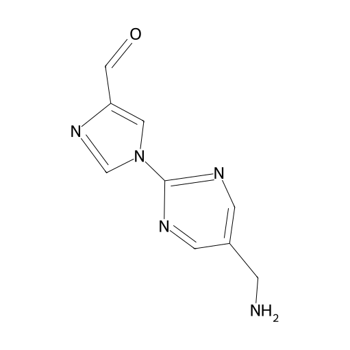 NCc1cnc(-n2cnc(C=O)c2)nc1